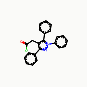 O=C(Cl)Cc1c(-c2ccccc2)nn(-c2ccccc2)c1-c1ccccc1